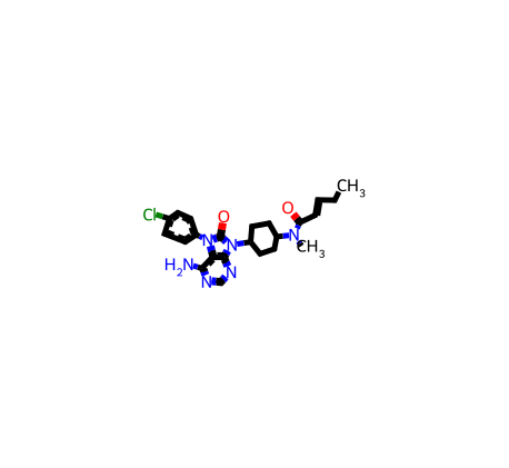 CC/C=C/C(=O)N(C)C1CCC(n2c(=O)n(-c3ccc(Cl)cc3)c3c(N)ncnc32)CC1